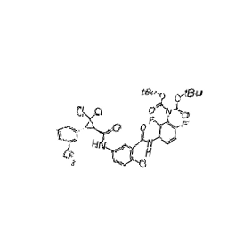 CC(C)(C)OC(=O)N(C(=O)OC(C)(C)C)c1c(F)ccc(NC(=O)c2cc(NC(=O)[C@H]3[C@H](c4cccc(C(F)(F)F)c4)C3(Cl)Cl)ccc2Cl)c1F